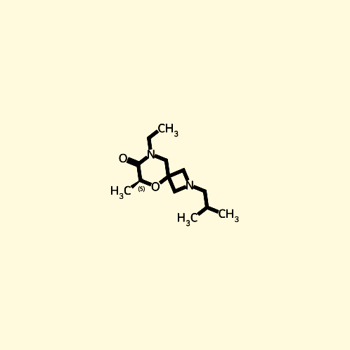 CCN1CC2(CN(CC(C)C)C2)O[C@@H](C)C1=O